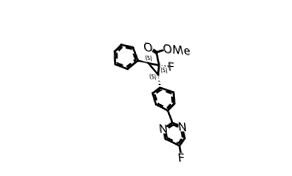 COC(=O)[C@]1(F)[C@H](c2ccccc2)[C@H]1c1ccc(-c2ncc(F)cn2)cc1